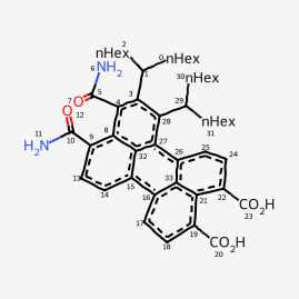 CCCCCCC(CCCCCC)c1c(C(N)=O)c2c(C(N)=O)ccc3c4ccc(C(=O)O)c5c(C(=O)O)ccc(c(c1C(CCCCCC)CCCCCC)c23)c54